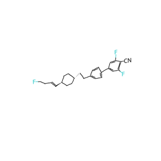 N#Cc1c(F)cc(-c2ccc(CC[C@H]3CC[C@H](C=CCCF)CC3)cc2)cc1F